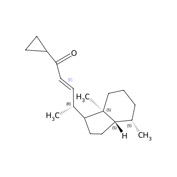 C[C@H](/C=C/C(=O)C1CC1)C1CC[C@H]2[C@@H](C)CCC[C@]12C